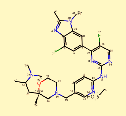 CS(=O)(=O)O.Cc1nc2c(F)cc(-c3nc(Nc4ccc(CN5CCO[C@@](C)(CC(C)N(C)C)C5)cn4)ncc3F)cc2n1C(C)C